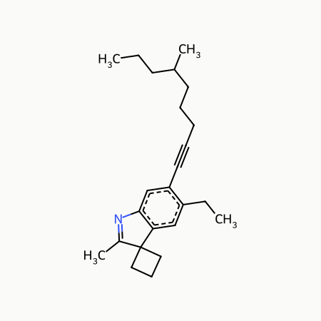 CCCC(C)CCCC#Cc1cc2c(cc1CC)C1(CCC1)C(C)=N2